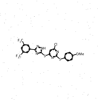 COc1ccc(Sc2nc(Cl)cc(Sc3nc(-c4cc(C(F)(F)F)cc(C(F)(F)F)c4)n[nH]3)n2)cc1